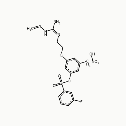 C=NNC(N)=NCCOc1cc(C)cc(OS(=O)(=O)c2cccc(F)c2)c1.O=[N+]([O-])O